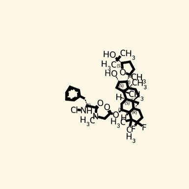 CN(CC(=O)O[C@H]1C[C@@H]2[C@]3(CC[C@]4(C)[C@@H]([C@]5(C)CC[C@@H](C(C)(C)O)O5)[C@@H](O)C[C@@]24C)C[C@@]32CCC(F)(F)C(C)(C)[C@H]12)C(=O)[C@@H](Cc1ccccc1)NCl